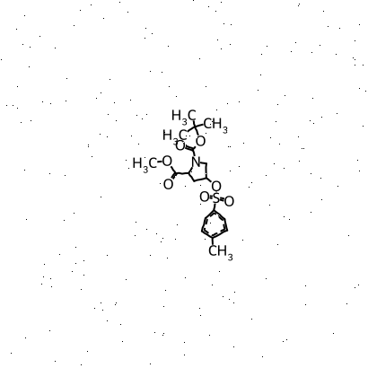 COC(=O)C1CC(OS(=O)(=O)c2ccc(C)cc2)CN1C(=O)OC(C)(C)C